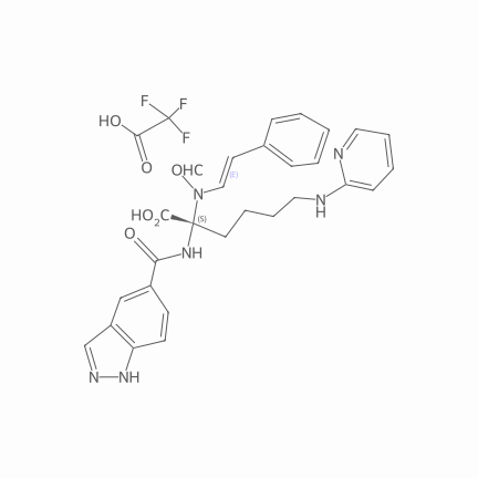 O=C(O)C(F)(F)F.O=CN(/C=C/c1ccccc1)[C@](CCCCNc1ccccn1)(NC(=O)c1ccc2[nH]ncc2c1)C(=O)O